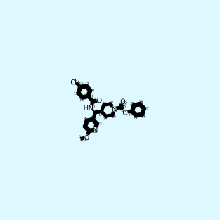 COc1ccc([C@@H](NC(=O)c2ccc(Cl)cc2)C2CCN(C(=O)Oc3ccccc3)CC2)cn1